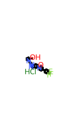 Cl.O=c1cc(-c2ccc(C(F)(F)F)cc2)ccn1-c1ccc2c(cnn2CCN2CCC[C@H]2CO)c1